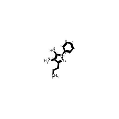 CCCc1nn(-c2ccccc2)c(O)c1C